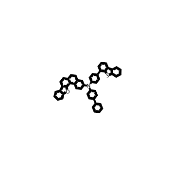 c1ccc(-c2ccc(N(c3ccc(-c4cccc5c4sc4ccccc45)cc3)c3ccc4c(ccc5ccc6c7ccccc7oc6c54)c3)cc2)cc1